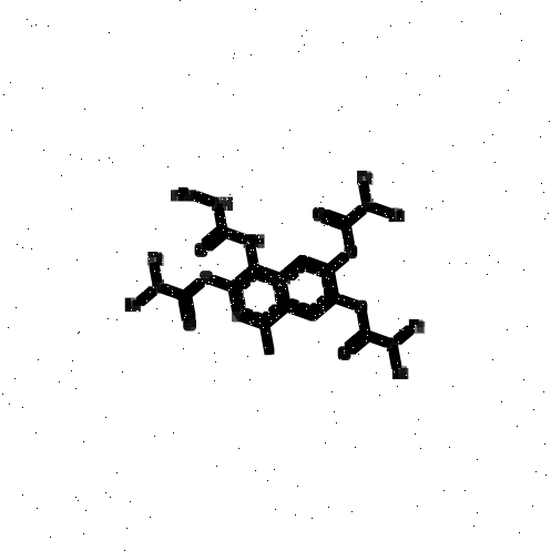 CCCCNC(=O)Nc1c(OC(=O)N(CC)CC)nc(C)c2cc(OC(=O)N(CC)CC)c(OC(=O)N(CC)CC)cc12